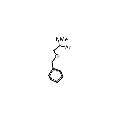 CN[C@@H](COCc1ccccc1)C(C)=O